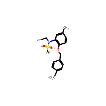 CCCS(=O)(=O)N(CC(C)C)c1cc(C)ccc1OCc1ccc(C(=O)O)cc1